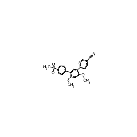 COc1cc(SC)c(-c2ccc(S(C)(=O)=O)cc2)cc1-c1ccc(C#N)cn1